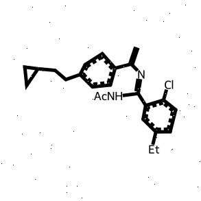 C=C(/N=C(\NC(C)=O)c1cc(CC)ccc1Cl)c1ccc(CCC2CC2)cc1